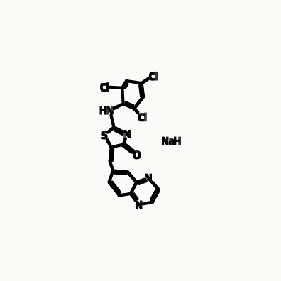 O=C1N=C(Nc2c(Cl)cc(Cl)cc2Cl)SC1=Cc1ccc2nccnc2c1.[NaH]